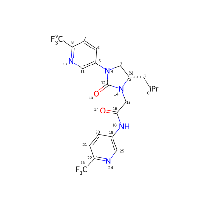 CC(C)C[C@H]1CN(c2ccc(C(F)(F)F)nc2)C(=O)N1CC(=O)Nc1ccc(C(F)(F)F)nc1